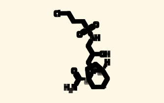 NC(=O)[C@]12C[CH]C[C@H](CC1)N2CC(O)CNS(=O)(=O)CCCCl